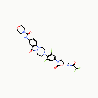 O=C(NC[C@H]1CN(c2cc(F)c(N3CCn4c(=O)c5cc(NC(=O)N6CCOCC6)ccc5n4CC3)c(F)c2)C(=O)O1)C(F)F